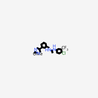 C=C(NCc1cccc(-c2cnc(OC)nc2)c1)Nc1ccc(Cl)c(C(F)(F)F)c1